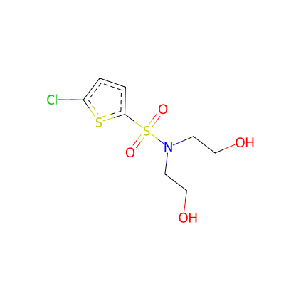 O=S(=O)(c1ccc(Cl)s1)N(CCO)CCO